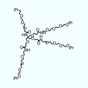 CC(C)CCOCCOCCOCC(=O)NC(COCCC(=O)NCCOCCOCCOCCOC(C)C)(COCCC(=O)NCCOCCOCCOCCOC(C)C)COCCC(=O)NCCOCCOCCOCCOC(C)C